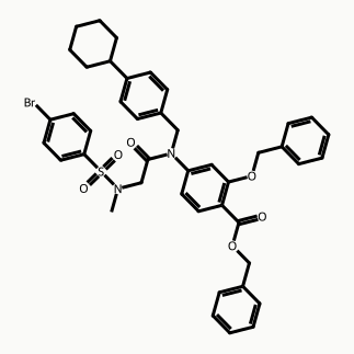 CN(CC(=O)N(Cc1ccc(C2CCCCC2)cc1)c1ccc(C(=O)OCc2ccccc2)c(OCc2ccccc2)c1)S(=O)(=O)c1ccc(Br)cc1